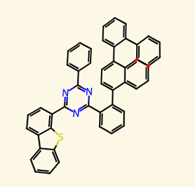 c1ccc(-c2nc(-c3ccccc3-c3ccc(-c4ccccc4-c4ccccc4)c4ccccc34)nc(-c3cccc4c3sc3ccccc34)n2)cc1